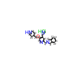 Cl.N#Cc1cc(CN2Cc3ccccc3C2)ncc1OCC1CCNCC1